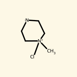 C[N+]1(Cl)CC[N]CC1